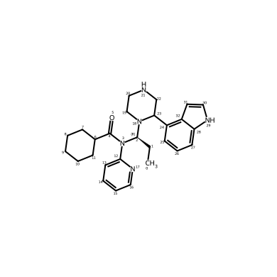 CC[C@@H](N(C(=O)C1CCCCC1)c1ccccn1)N1CCNCC1c1cccc2[nH]ccc12